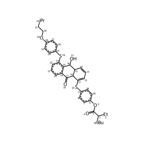 CCCCC(CC)C(=O)Oc1ccc(SC2=CC=CC3C2C(=O)c2cccc(Sc4ccc(OCCC(C)C)cc4)c2C3O)cc1